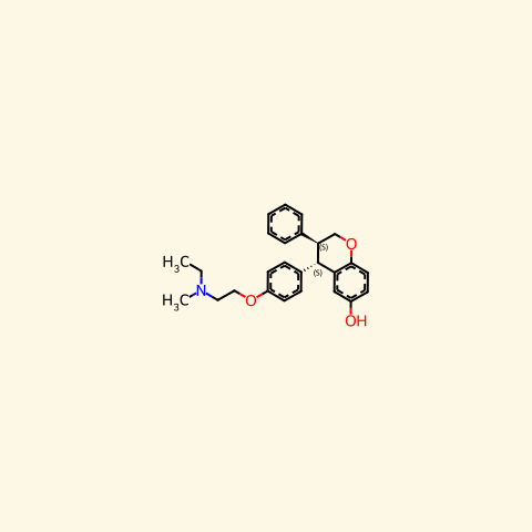 CCN(C)CCOc1ccc([C@H]2c3cc(O)ccc3OC[C@@H]2c2ccccc2)cc1